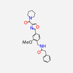 COc1cc(-c2nc(C(=O)N3CCCCC3)co2)ccc1CNC(=O)Cc1ccccc1